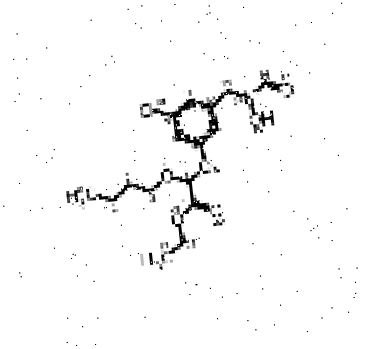 CCCCOC(Oc1cc(Cl)cc(CN(O)C=O)c1)C(=O)OCC